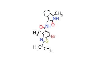 Cc1[nH]c(=O)c(CNC(=O)c2cc(Br)c3sc(C(C)C)nc3c2C)c2c1CCCC2